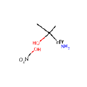 CCCC(C)(C)O.N.O=[N+]([O-])O